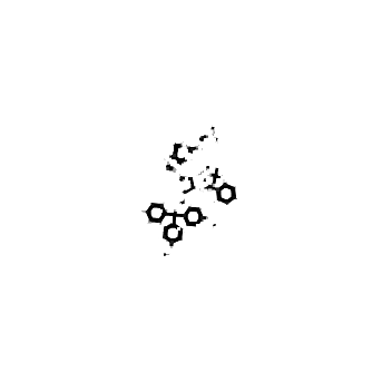 COc1ccc(C(OC[C@H]2O[C@@H](n3cnc4c(=O)[nH]c(/N=C/N(C)C)nc43)[C@H](O[Si](C)(C)C(C)(C)C)[C@@H]2NCc2ccccc2)(c2ccccc2)c2ccc(OC)cc2)cc1